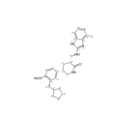 COc1ccc([C@H]2CNC(=O)[C@@H](CNc3nc4c(C)cccc4[nH]3)C2)cc1OC1CCCC1